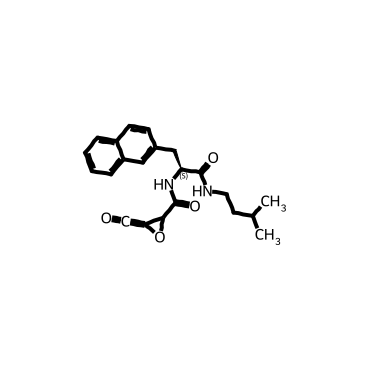 CC(C)CCNC(=O)[C@H](Cc1ccc2ccccc2c1)NC(=O)C1OC1=C=O